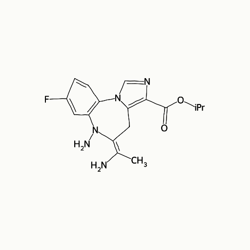 C/C(N)=C1\Cc2c(C(=O)OC(C)C)ncn2-c2ccc(F)cc2N1N